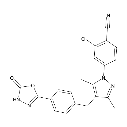 Cc1nn(-c2ccc(C#N)c(Cl)c2)c(C)c1Cc1ccc(-c2n[nH]c(=O)o2)cc1